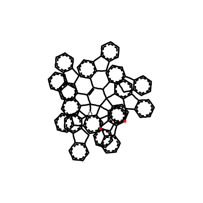 c1ccc2c(c1)Cc1c(OC3(c4cccc5c4Cc4ccccc4-5)C(c4cccc5c4Cc4ccccc4-5)=C(c4cccc5c4Cc4ccccc4-5)C(c4cccc5c4Cc4ccccc4-5)C(c4cccc5c4Cc4ccccc4-5)(c4cccc5c4Cc4ccccc4-5)C3(c3cccc4c3Cc3ccccc3-4)c3cccc4c3Cc3ccccc3-4)cccc1-2